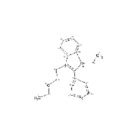 CCOCCc1c(-c2cccnc2)n(CC)c2ccccc12